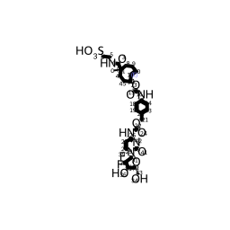 C[C@@]1(C(=O)NCCS(=O)(=O)O)CC/C=C/[C@H](OC(=O)Nc2ccc(COC(=O)Nc3ccn([C@@H]4O[C@H](CO)[C@@H](O)C4(F)F)c(=O)n3)cc2)CC1